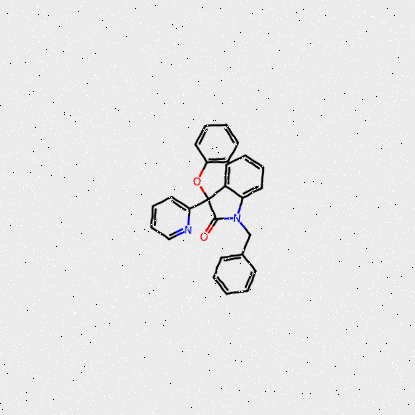 O=C1N(Cc2ccccc2)c2ccccc2C1(Oc1ccccc1)c1ccccn1